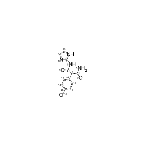 NC(=O)C(C(=O)Nc1ncc[nH]1)c1ccc(Cl)cc1